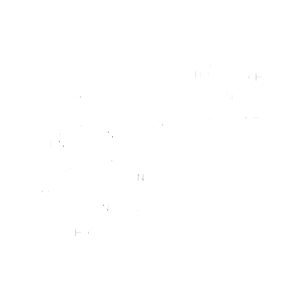 Cn1cnc2c1c(=O)[nH]c(=O)n2COCC[Si](C)(C)C